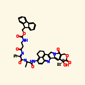 CC[C@@]1(O)C(=O)OCc2c1cc1n(c2=O)Cc2c-1nc1ccc(NC(=O)C(C)=NC(=O)C(=NC(=O)CCNC(=O)OCC3c4ccccc4-c4ccccc43)C(C)C)c3c1c2CCC3